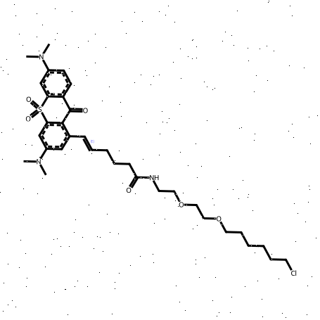 CN(C)c1ccc2c(c1)S(=O)(=O)c1cc(N(C)C)cc(/C=C/CCCC(=O)NCCOCCOCCCCCCCl)c1C2=O